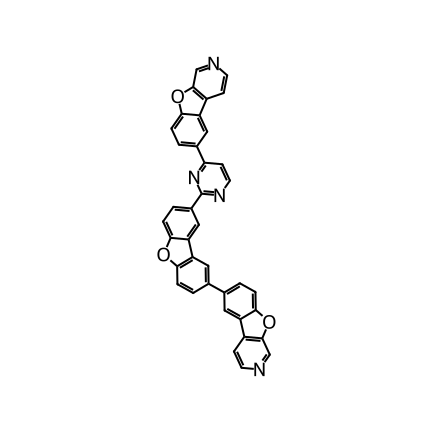 c1cc2c(cn1)oc1ccc(-c3ccc4oc5ccc(-c6nccc(-c7ccc8oc9cnccc9c8c7)n6)cc5c4c3)cc12